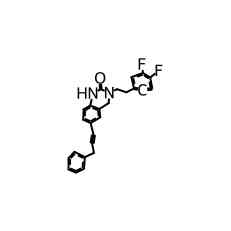 O=C1Nc2ccc(C#CCc3ccccc3)cc2CN1CCc1ccc(F)c(F)c1